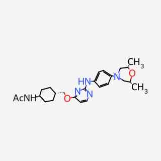 CC(=O)N[C@H]1CC[C@H](COc2ccnc(Nc3ccc(N4C[C@@H](C)O[C@@H](C)C4)cc3)n2)CC1